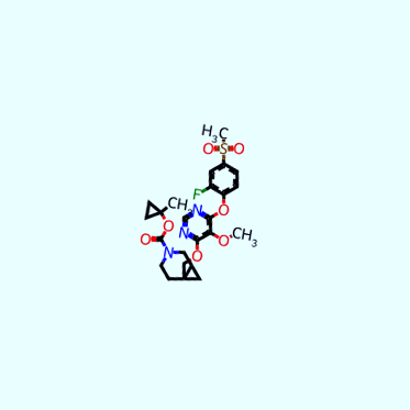 COc1c(OCC23CCN(C(=O)OC4(C)CC4)CC2C3)ncnc1Oc1ccc(S(C)(=O)=O)cc1F